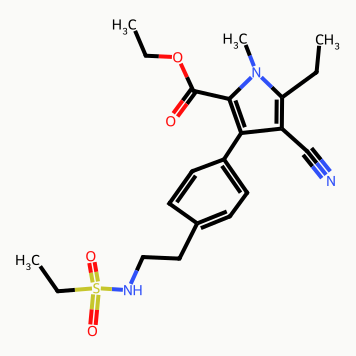 CCOC(=O)c1c(-c2ccc(CCNS(=O)(=O)CC)cc2)c(C#N)c(CC)n1C